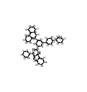 c1ccc(-c2nc(-c3cc(-c4ccc(-c5cccnc5)cc4)cc(-c4cc5ccccc5c5ccccc45)c3)nc3c2sc2ccccc23)cc1